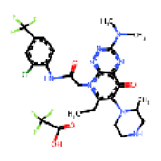 CCc1c(N2CCNCC2C)c(=O)c2nc(N(C)C)nnc2n1CC(=O)Nc1ccc(C(F)(F)F)cc1Cl.O=C(O)C(F)(F)F